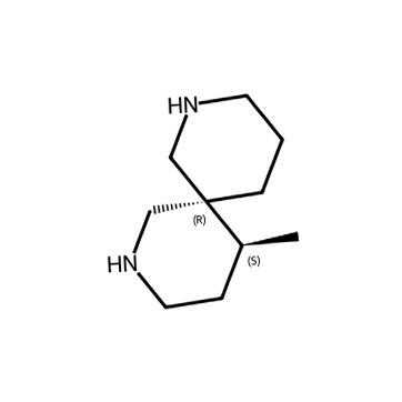 C[C@H]1CCNC[C@]12CCCNC2